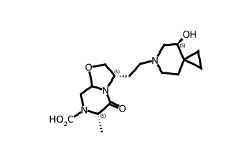 C[C@H]1C(=O)N2C(CN1C(=O)O)OC[C@@H]2CCN1CCC2(CC2)[C@H](O)C1